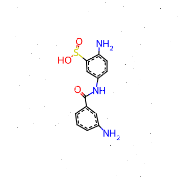 Nc1cccc(C(=O)Nc2ccc(N)c(S(=O)O)c2)c1